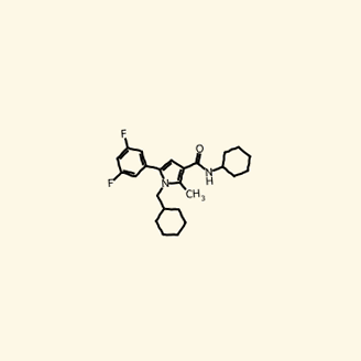 Cc1c(C(=O)NC2CCCCC2)cc(-c2cc(F)cc(F)c2)n1CC1CCCCC1